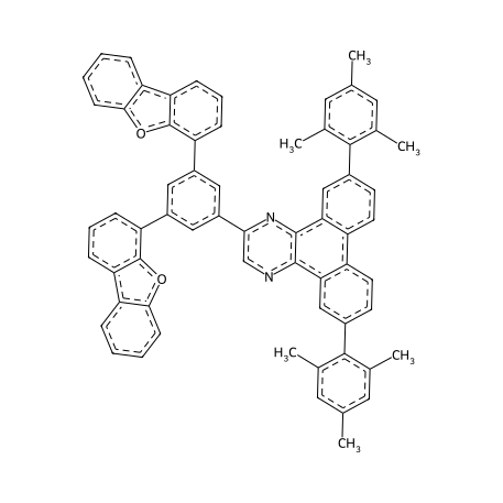 Cc1cc(C)c(-c2ccc3c4ccc(-c5c(C)cc(C)cc5C)cc4c4nc(-c5cc(-c6cccc7c6oc6ccccc67)cc(-c6cccc7c6oc6ccccc67)c5)cnc4c3c2)c(C)c1